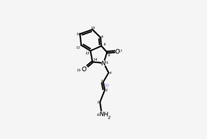 NC/C=C/CN1C(=O)c2ccccc2C1=O